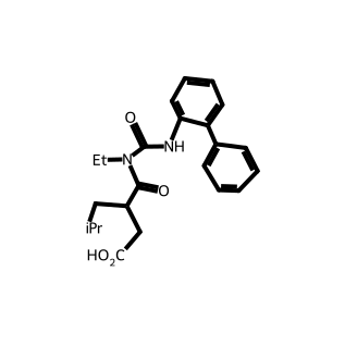 CCN(C(=O)Nc1ccccc1-c1ccccc1)C(=O)C(CC(=O)O)CC(C)C